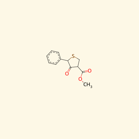 COC(=O)C1CSC(c2ccccc2)C1=O